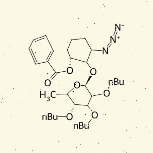 CCCCOC1C(OCCCC)[C@H](OCCCC)C(C)O[C@H]1OC1C(N=[N+]=[N-])CCC[C@H]1OC(=O)c1ccccc1